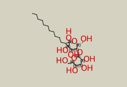 CCCCCCCCCCCC1[C@@]2(O)[C@@H](O)[C@H](O[C@H]3O[C@H](CO)[C@@H](O)[C@H](O)[C@H]3O)[C@@H](CO)O[C@]12O